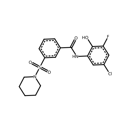 O=C(Nc1cc(Cl)cc(F)c1O)c1cccc(S(=O)(=O)N2CCCCC2)c1